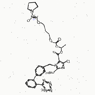 CCCCc1nc(Cl)c(C(=O)OC(C)OC(=O)OCCCO/N=[N+](\[O-])N2CCCC2)n1Cc1ccc(-c2ccccc2-c2nnn[nH]2)cc1